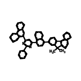 CC1(C)c2cc(-c3ccc(-c4cc(-c5cc6ccccc6c6ccccc56)nc(-c5ccccc5)n4)c4ccccc34)ccc2-c2c1ccc1ccccc21